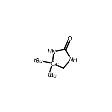 C[C](C)(C)[Ca]1([C](C)(C)C)[CH2]NC(=O)[NH]1